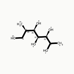 CC(O)[C@H](O)[C@@H](O)[C@H](O)[C@H](C)CO